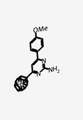 COc1ccc(-c2cc([C]34[CH]5[CH]6[CH]7[CH]3[Fe]6754389%10[CH]4[CH]3[CH]8[CH]9[CH]4%10)nc(N)n2)cc1